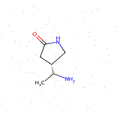 CC(N)[C@H]1CNC(=O)C1